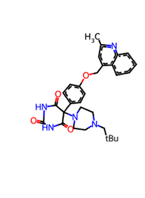 Cc1cc(COc2ccc(C3(N4CCN(CC(C)(C)C)CC4)C(=O)NC(=O)NC3=O)cc2)c2ccccc2n1